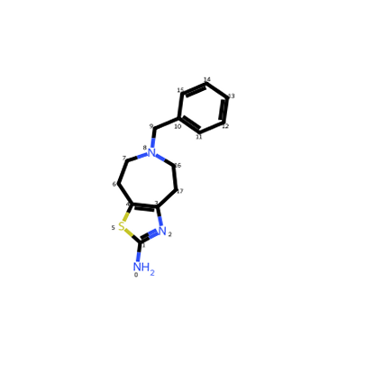 Nc1nc2c(s1)CCN(Cc1ccccc1)CC2